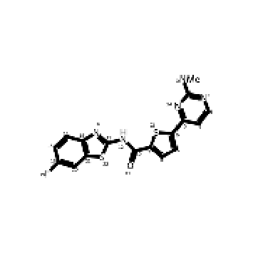 CNc1nccc(-c2ccc(C(=O)Nc3nc4ccc(F)cc4s3)s2)n1